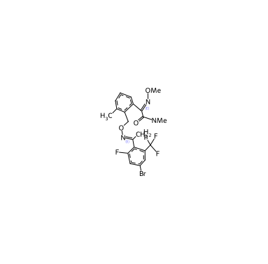 CNC(=O)/C(=N/OC)c1cccc(C)c1CO/N=C(\C)c1c(F)cc(Br)cc1C(F)(F)P